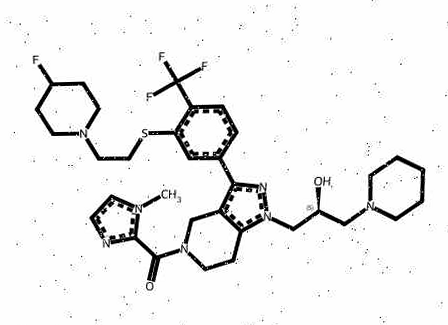 Cn1ccnc1C(=O)N1CCc2c(c(-c3ccc(C(F)(F)F)c(SCCN4CCC(F)CC4)c3)nn2C[C@@H](O)CN2CCCCC2)C1